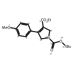 CCOC(=O)C1=C(c2ccc(OC)cc2)CN(C(=O)OC(C)(C)C)C1